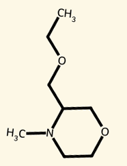 CCOCC1COCCN1C